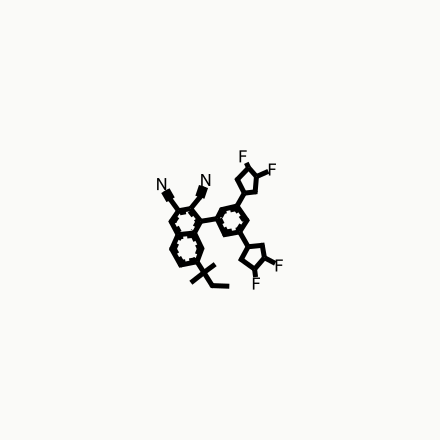 CCC(C)(C)c1ccc2cc(C#N)c(C#N)c(-c3cc(C4CC(F)C(F)C4)cc(C4CC(F)C(F)C4)c3)c2c1